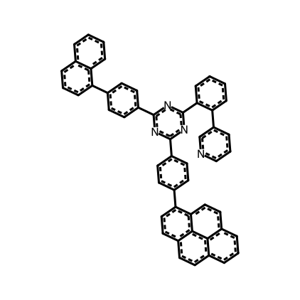 c1cncc(-c2ccccc2-c2nc(-c3ccc(-c4cccc5ccccc45)cc3)nc(-c3ccc(-c4ccc5ccc6cccc7ccc4c5c67)cc3)n2)c1